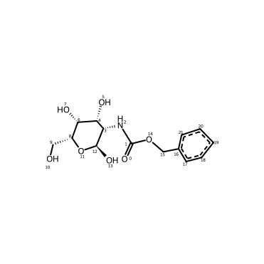 O=C(N[C@H]1[C@@H](O)[C@@H](O)[C@@H](CO)O[C@@H]1O)OCc1ccccc1